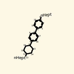 CCCCCCCc1ccc(-c2ccc(C3CCC(CCCCCCC)CC3)cc2)cc1